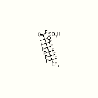 O=C(F)C(F)(OS(=O)(=O)O)C(F)(F)C(F)(F)C(F)(F)C(F)(F)C(F)(F)C(F)(F)F